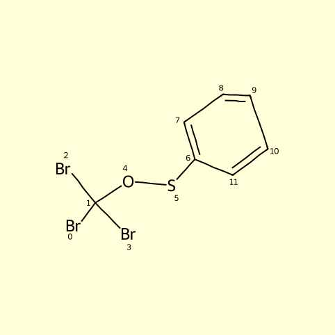 BrC(Br)(Br)OSc1ccccc1